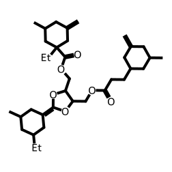 C=C1CC(C)CC(CCC(=O)OCC2O/C(=C3/CC(C)CC(CC)C3)OC2COC(=O)C2(CC)CC(=C)CC(C)C2)C1